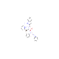 O=C(CN1C(=O)[C@H](NC(=O)c2cc3ccccc3[nH]2)[C@@H](c2ccccc2)Sc2ccccc21)Nc1ccccc1